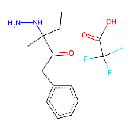 CCC(C)(NN)C(=O)Cc1ccccc1.O=C(O)C(F)(F)F